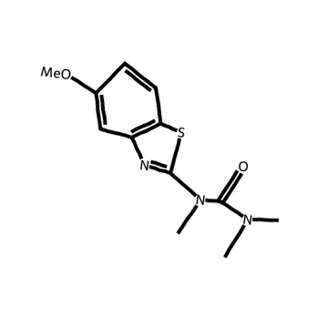 COc1ccc2sc(N(C)C(=O)N(C)C)nc2c1